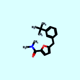 CN(C)C(=O)c1ccc(Cc2cccc(C(C)(C)C)c2)o1